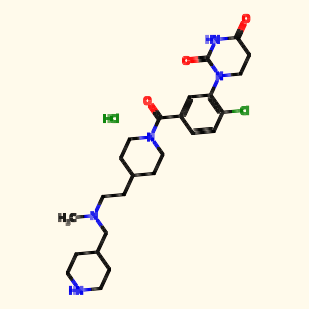 CN(CCC1CCN(C(=O)c2ccc(Cl)c(N3CCC(=O)NC3=O)c2)CC1)CC1CCNCC1.Cl